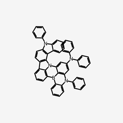 c1ccc(N(c2ccccc2)c2cc3c4c(c2)-n2c5c(cccc5c5ccc6c(c7ccccc7n6-c6ccccc6)c52)B4c2ccccc2N3c2ccccc2)cc1